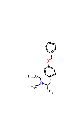 C[C@H](Cc1ccc(OCc2ccccc2)cc1)N(C)CC(=O)O